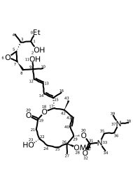 CCC(O)C(C)[C@H]1O[C@@H]1CC(C)(O)/C=C/C=C(\C)[C@H]1OC(=O)C[C@@H](O)CC[C@](C)(OC)[C@@H](OC(=O)N(C)CCN(C)C)/C=C/[C@@H]1C